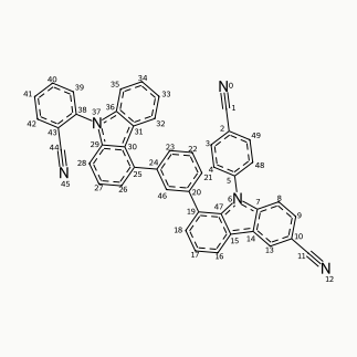 N#Cc1ccc(-n2c3ccc(C#N)cc3c3cccc(-c4cccc(-c5cccc6c5c5ccccc5n6-c5ccccc5C#N)c4)c32)cc1